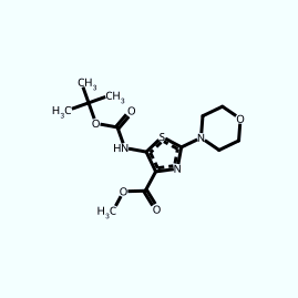 COC(=O)c1nc(N2CCOCC2)sc1NC(=O)OC(C)(C)C